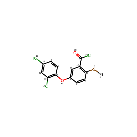 CCSc1ccc(Oc2ccc(Br)cc2Cl)cc1C(=O)Cl